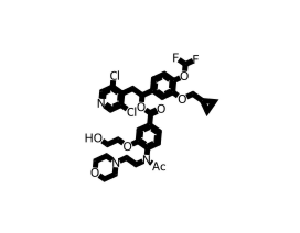 CC(=O)N(CCN1CCOCC1)c1ccc(C(=O)OC(Cc2c(Cl)cncc2Cl)c2ccc(OC(F)F)c(OCC3CC3)c2)cc1OCCO